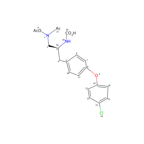 CC(=O)ON(C[C@H](Cc1ccc(Oc2ccc(Cl)cc2)cc1)NC(=O)O)C(C)=O